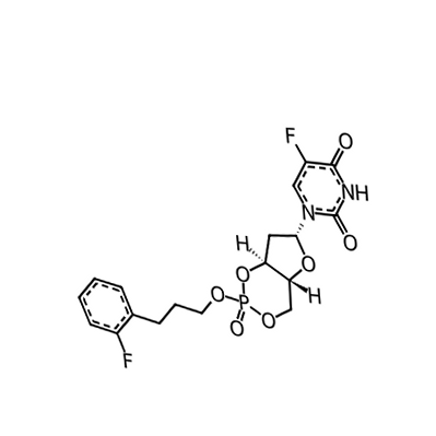 O=c1[nH]c(=O)n([C@H]2C[C@@H]3OP(=O)(OCCCc4ccccc4F)OC[C@H]3O2)cc1F